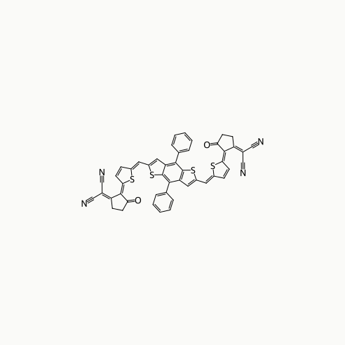 N#CC(C#N)=C1CCC(=O)/C1=c1/cc/c(=C/c2cc3c(-c4ccccc4)c4sc(/C=c5/cc/c(=C6/C(=O)CCC6=C(C#N)C#N)s5)cc4c(-c4ccccc4)c3s2)s1